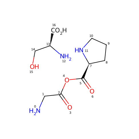 NCC(=O)OC(=O)[C@@H]1CCCN1.N[C@@H](CO)C(=O)O